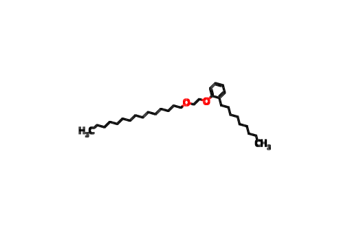 CCCCCCCCCCCCCCCOCCOc1ccccc1CCCCCCCCC